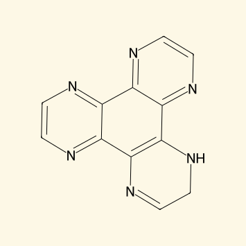 C1=Nc2c(c3nccnc3c3nccnc23)NC1